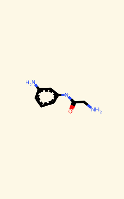 NCC(=O)[N]c1cccc(N)c1